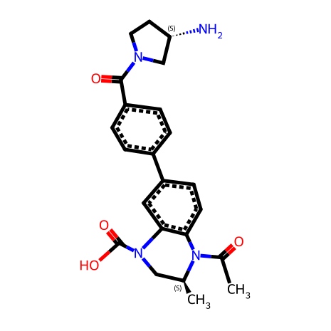 CC(=O)N1c2ccc(-c3ccc(C(=O)N4CC[C@H](N)C4)cc3)cc2N(C(=O)O)C[C@@H]1C